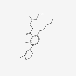 C=C(CCC(C)CCC)c1c(CCCCC)ccc(C2C=C(C)CCC2)c1C